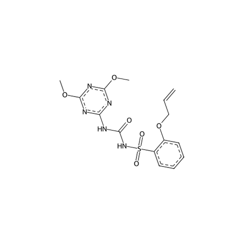 C=CCOc1ccccc1S(=O)(=O)NC(=O)Nc1nc(OC)nc(OC)n1